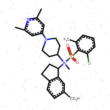 Cc1cc(N2CCC([N+](C)(C3CCc4ccc(C(=O)O)cc43)S(=O)(=O)c3c(Cl)cccc3C(F)(F)F)CC2)cc(C)n1